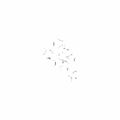 O=C(Nc1ccc2cnn(C(c3ccccc3)(c3ccccc3)c3ccccc3)c2c1F)C(F)(F)F